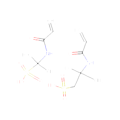 C=CC(=O)NC(C)(C)CS(=O)(=O)O.C=CC(=O)NC(C)(C)S(=O)(=O)O